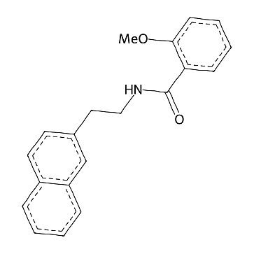 COc1ccccc1C(=O)NCCc1ccc2ccccc2c1